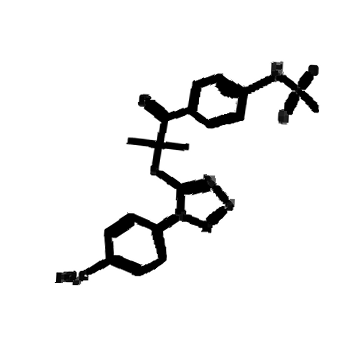 CC(C)(Sc1nnnn1-c1ccc(C(=O)O)cc1)C(=O)c1ccc(NS(C)(=O)=O)cc1